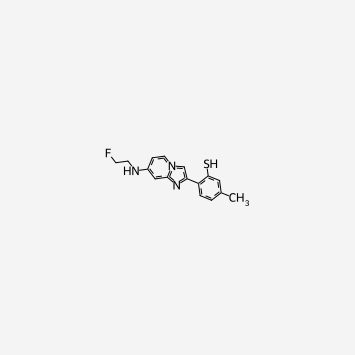 Cc1ccc(-c2cn3ccc(NCCF)cc3n2)c(S)c1